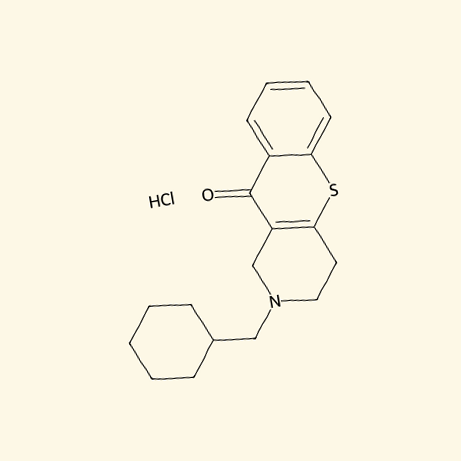 Cl.O=c1c2c(sc3ccccc13)CCN(CC1CCCCC1)C2